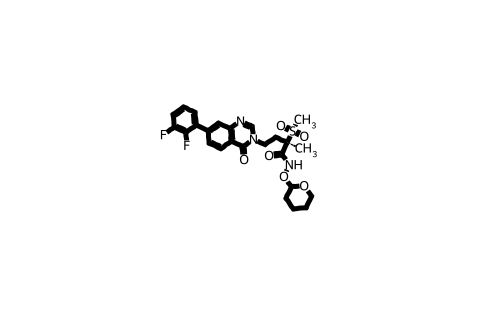 C[C@@](CCn1cnc2cc(-c3cccc(F)c3F)ccc2c1=O)(C(=O)NOC1CCCCO1)S(C)(=O)=O